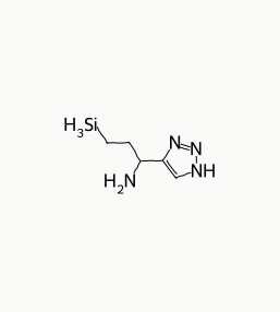 NC(CC[SiH3])c1c[nH]nn1